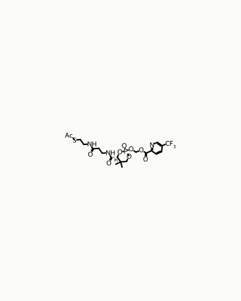 CC(=O)SCCNC(=O)CCNC(=O)[C@@H]1OP(=O)(OCOC(=O)c2ccc(C(F)(F)F)cn2)OCC1(C)C